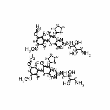 COc1cc(OC)c(F)c(N2Cc3cnc(NCC(O)C(O)CN)nc3N(C3CCCC3)C2=O)c1F.COc1cc(OC)c(F)c(N2Cc3cnc(NCC(O)C(O)CN)nc3N(C3CCCC3)C2=O)c1F